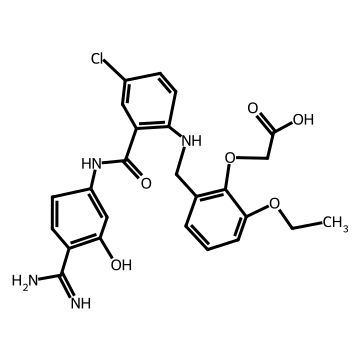 CCOc1cccc(CNc2ccc(Cl)cc2C(=O)Nc2ccc(C(=N)N)c(O)c2)c1OCC(=O)O